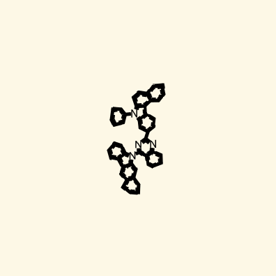 c1ccc(-n2c3cc(-c4nc(-n5c6ccccc6c6cc7ccccc7cc65)c5ccccc5n4)ccc3c3c4ccccc4ccc32)cc1